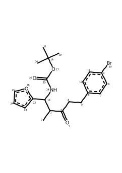 CC(C(=O)CCc1ccc(Br)cc1)C(NC(=O)OC(C)(C)C)c1ccco1